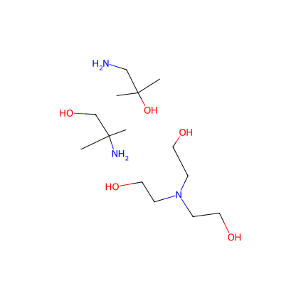 CC(C)(N)CO.CC(C)(O)CN.OCCN(CCO)CCO